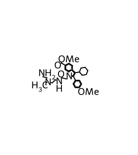 COC(=O)c1ccc2c(C3CCCCC3)c(-c3ccc(OC)cc3)n(CC(=O)NCCN(C)CCN)c2c1